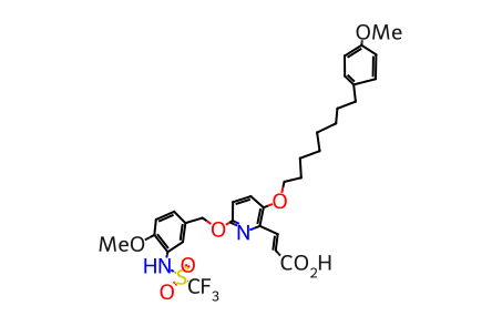 COc1ccc(CCCCCCCCOc2ccc(OCc3ccc(OC)c(NS(=O)(=O)C(F)(F)F)c3)nc2C=CC(=O)O)cc1